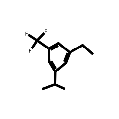 CCc1cc(C(C)C)cc(C(F)(F)F)c1